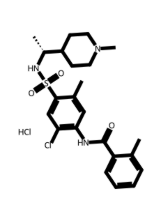 Cc1ccccc1C(=O)Nc1cc(C)c(S(=O)(=O)N[C@H](C)C2CCN(C)CC2)cc1Cl.Cl